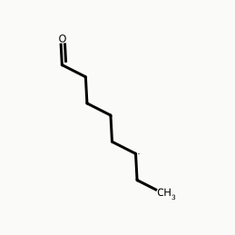 CC[CH]CCCCC=O